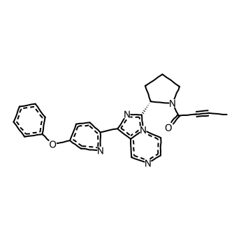 CC#CC(=O)N1CCC[C@H]1c1nc(-c2ccc(Oc3ccccc3)cn2)c2cnccn12